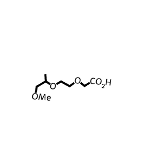 COCC(C)OCCOCC(=O)O